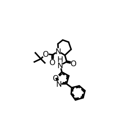 CC(C)(C)OC(=O)N1CCCCC1C(=O)Nc1cc(-c2ccccc2)no1